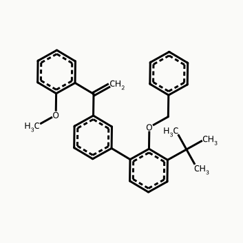 C=C(c1cccc(-c2cccc(C(C)(C)C)c2OCc2ccccc2)c1)c1ccccc1OC